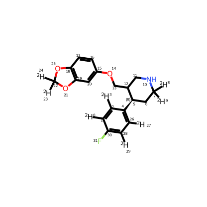 [2H]c1c([2H])c([C@@H]2CC([2H])([2H])NCC2COc2ccc3c(c2)OC([2H])([2H])O3)c([2H])c([2H])c1F